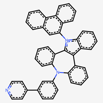 c1cc(-c2ccncc2)cc(N2c3ccccc3-c3c(n(-c4cc5ccccc5c5ccccc45)c4ccccc34)-c3ccccc32)c1